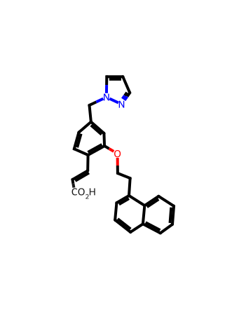 O=C(O)C=Cc1ccc(Cn2cccn2)cc1OCCc1cccc2ccccc12